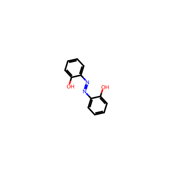 Oc1ccccc1N=Nc1ccccc1O